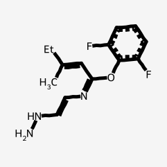 CC/C(C)=C/C(=N\C=C\NN)Oc1c(F)cccc1F